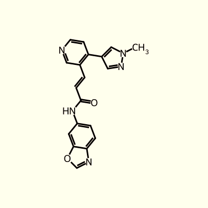 Cn1cc(-c2ccncc2/C=C/C(=O)Nc2ccc3ncoc3c2)cn1